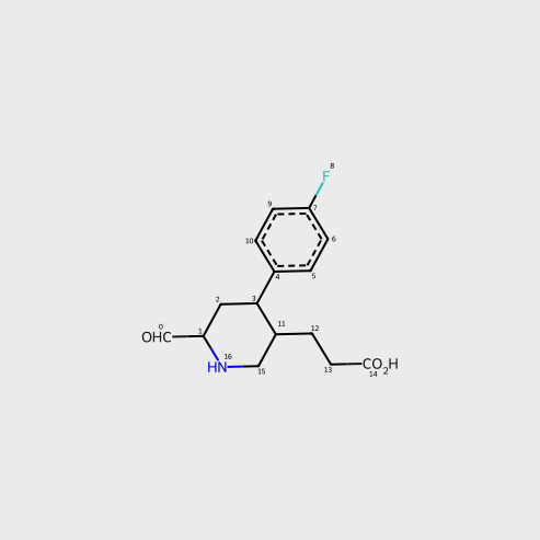 O=CC1CC(c2ccc(F)cc2)C(CCC(=O)O)CN1